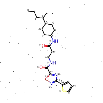 CCCC(C)C1CCC(NC(=O)CCNC(=O)c2nc(-c3cccs3)no2)CC1